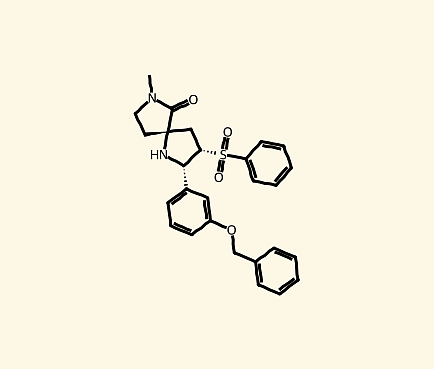 CN1CC[C@]2(C[C@H](S(=O)(=O)c3ccccc3)[C@H](c3cccc(OCc4ccccc4)c3)N2)C1=O